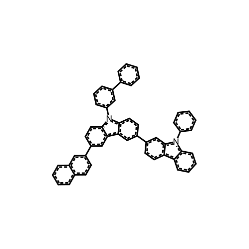 c1ccc(-c2cccc(-n3c4ccc(-c5ccc6ccccc6c5)cc4c4cc(-c5ccc6c7ccccc7n(-c7ccccc7)c6c5)ccc43)c2)cc1